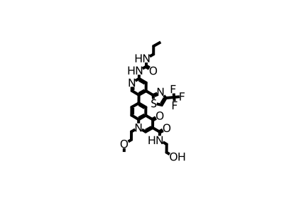 CCCNC(=O)Nc1cc(-c2nc(C(F)(F)F)cs2)c(-c2ccc3c(c2)c(=O)c(C(=O)NCCO)cn3CCOC)cn1